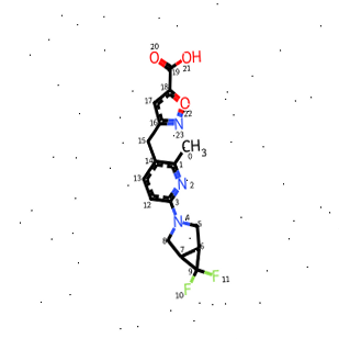 Cc1nc(N2CC3C(C2)C3(F)F)ccc1Cc1cc(C(=O)O)on1